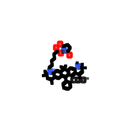 CC1=CC(C)(C)N(C)c2cc3c(cc21)C(c1ccccc1C(=O)[O-])=c1cc2c(cc1C3(C)C)=[N+](CCCCCC(=O)ON1C(=O)CCC1=O)C(C)(C)C=C2C